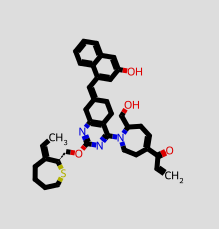 C=CC(=O)C1=CCC(CO)N(c2nc(OC[C@@H]3SCCCC/C3=C/C)nc3c2CC/C(=C\c2cc(O)cc4ccccc24)C3)CC1